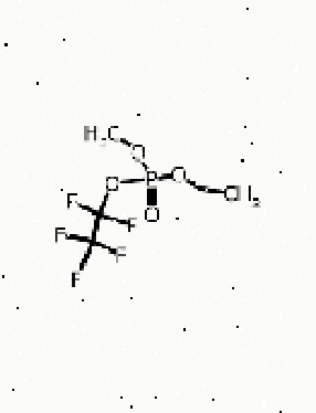 CCOP(=O)(OC)OC(F)(F)C(F)(F)F